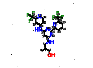 CC(CO)CNc1cc(Nc2ccnc(C(F)(F)F)c2)nc(-c2cccc(C(F)(F)F)n2)n1